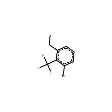 CCc1cccc(Br)c1C(F)(F)F